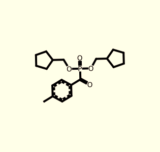 Cc1ccc(C(=O)P(=O)(OCC2CCCC2)OCC2CCCC2)cc1